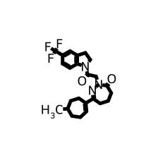 CC1CCC=C(C2=NN(CC(=O)N3CCc4cc(C(F)(F)F)ccc43)C(=O)CCC2)CC1